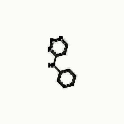 c1ccc(Pc2ccppp2)cc1